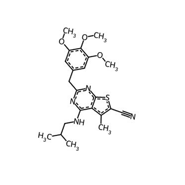 COc1cc(Cc2nc(NCC(C)C)c3c(C)c(C#N)sc3n2)cc(OC)c1OC